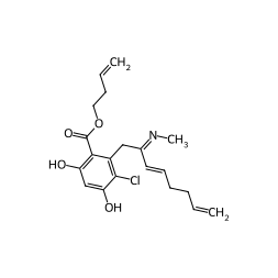 C=CCC/C=C/C(Cc1c(Cl)c(O)cc(O)c1C(=O)OCCC=C)=N\C